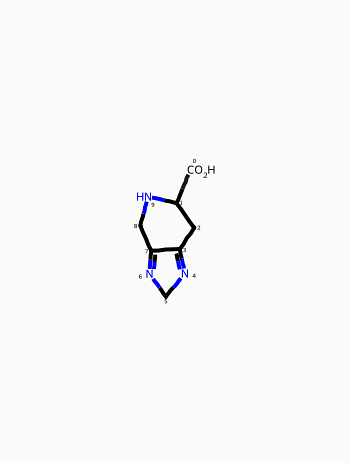 O=C(O)C1CC2=NCN=C2CN1